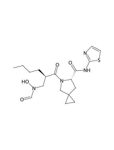 CCCC[C@H](CN(O)C=O)C(=O)N1CC2(CC2)C[C@H]1C(=O)Nc1nccs1